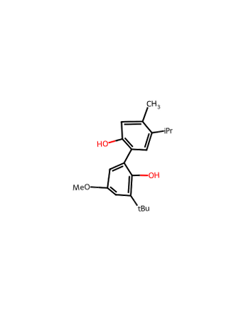 COc1cc(-c2cc(C(C)C)c(C)cc2O)c(O)c(C(C)(C)C)c1